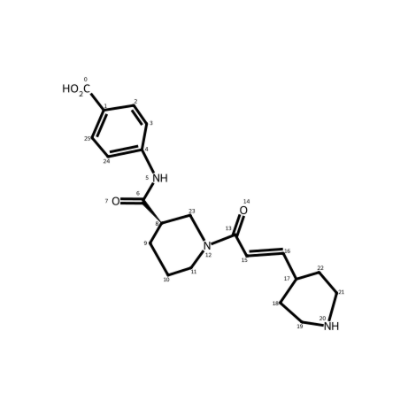 O=C(O)c1ccc(NC(=O)[C@@H]2CCCN(C(=O)C=CC3CCNCC3)C2)cc1